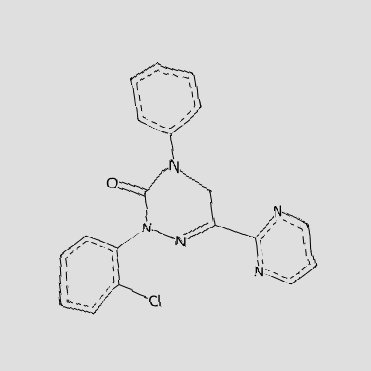 O=C1N(c2ccccc2)CC(c2ncccn2)=NN1c1ccccc1Cl